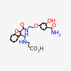 NC(=O)c1ccc(OCCNC(=O)c2oc3ccccc3c2CNCCC(=O)O)cc1O